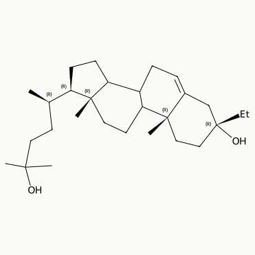 CC[C@@]1(O)CC[C@@]2(C)C(=CCC3C2CC[C@@]2(C)C3CC[C@@H]2[C@H](C)CCC(C)(C)O)C1